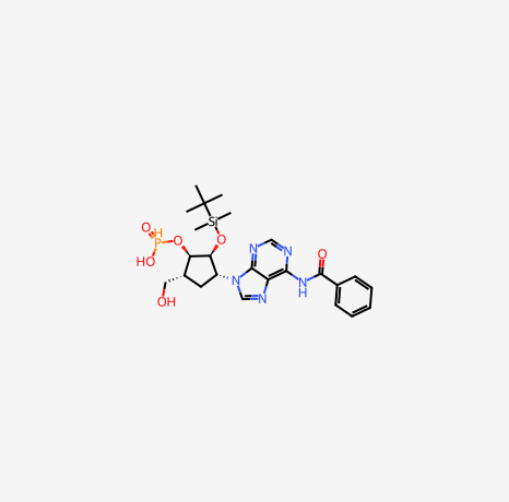 CC(C)(C)[Si](C)(C)O[C@@H]1[C@H](O[PH](=O)O)[C@@H](CO)C[C@H]1n1cnc2c(NC(=O)c3ccccc3)ncnc21